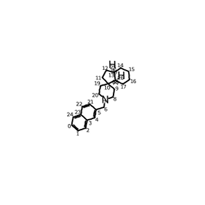 c1ccc2cc(CN3CCC4(CC[C@H]5CCCC[C@H]54)CC3)ccc2c1